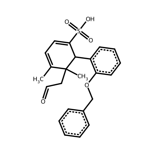 CC1=CC=C(S(=O)(=O)O)C(c2ccccc2OCc2ccccc2)C1(C)CC=O